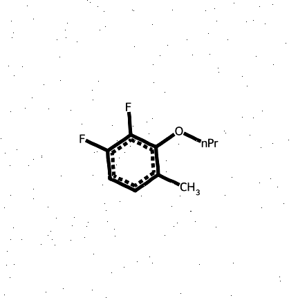 CCCOc1c(C)ccc(F)c1F